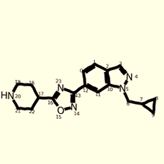 c1cc2cnn(CC3CC3)c2cc1-c1noc(C2CCNCC2)n1